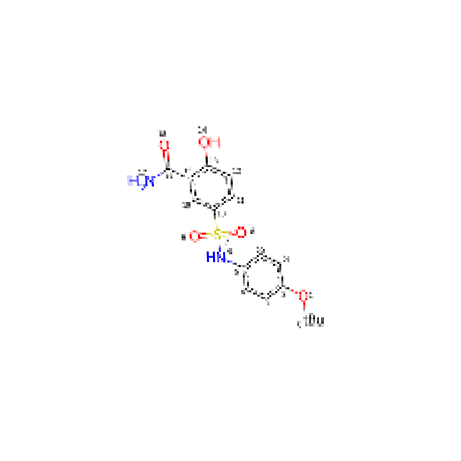 CC(C)(C)Oc1ccc(NS(=O)(=O)c2ccc(O)c(C(N)=O)c2)cc1